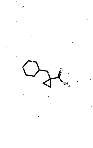 NC(=O)C1([CH]C2CCCCC2)CC1